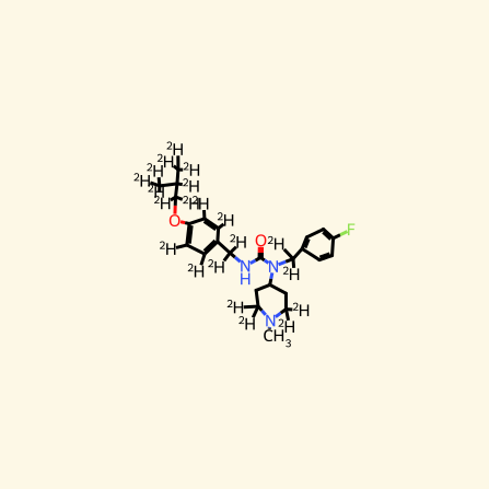 [2H]c1c([2H])c(C([2H])([2H])NC(=O)N(C2CC([2H])([2H])N(C)C([2H])([2H])C2)C([2H])([2H])c2ccc(F)cc2)c([2H])c([2H])c1OC([2H])([2H])C([2H])(C([2H])([2H])[2H])C([2H])([2H])[2H]